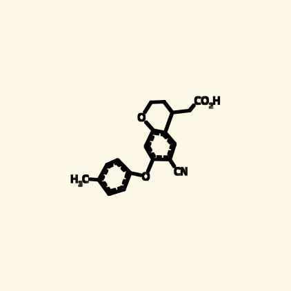 Cc1ccc(Oc2cc3c(cc2C#N)C(CC(=O)O)CCO3)cc1